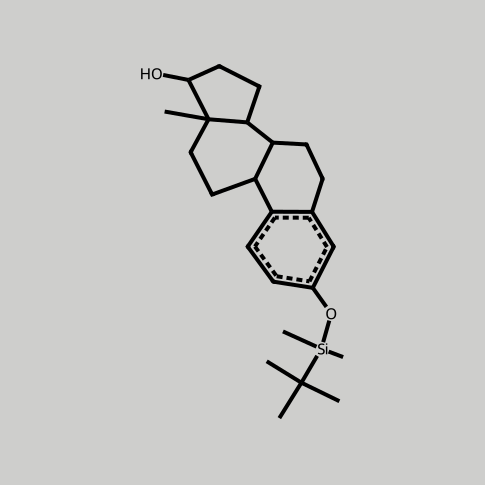 CC12CCC3c4ccc(O[Si](C)(C)C(C)(C)C)cc4CCC3C1CCC2O